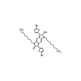 CCCCCCCCN1C(=O)C(c2ccc(Br)s2)=c2cc3c(cc21)=C(c1ccc(Br)s1)C(O)N3CCCCCCCC